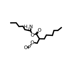 CCCCCCC(COP=O)C(=O)OC(N)CCCCC